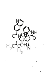 CC(C)C[C@@H](C(O)N1C[C@]2(C[C@H]1C#N)C(=O)Nc1ccccc12)N(C)C(=O)c1ccc2ncccc2c1